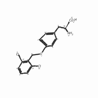 N[C@@H](Cc1ccc(OCc2c(Cl)cccc2Cl)cc1)C(=O)O